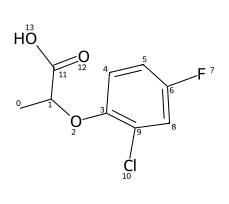 CC(Oc1ccc(F)cc1Cl)C(=O)O